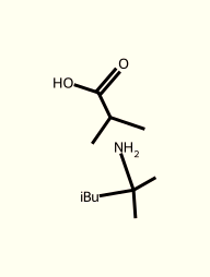 CC(C)C(=O)O.CCC(C)C(C)(C)N